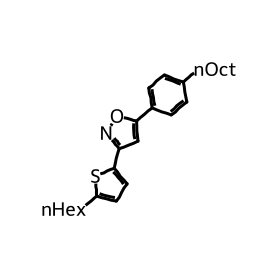 CCCCCCCCc1ccc(-c2cc(-c3ccc(CCCCCC)s3)no2)cc1